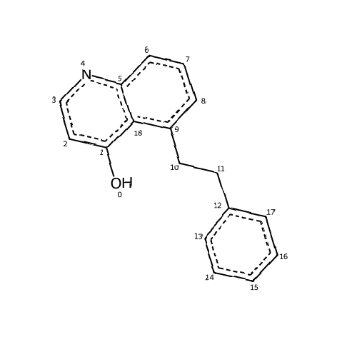 Oc1ccnc2cccc(CCc3ccccc3)c12